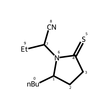 CCCCC1CCC(=S)N1C(C#N)CC